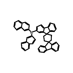 c1ccc2c(c1)-c1ccccc1C21CCC2(CC1)c1ccccc1-c1ccc(N(c3ccc4ccccc4c3)c3ccc4ccccc4c3)cc12